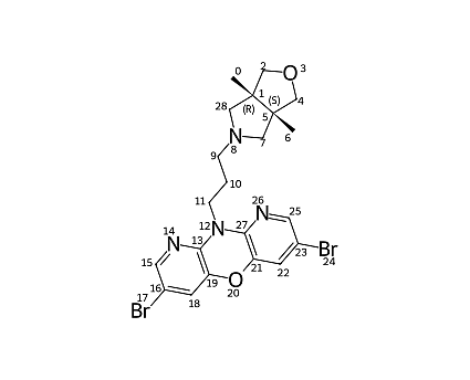 C[C@@]12COC[C@]1(C)CN(CCCN1c3ncc(Br)cc3Oc3cc(Br)cnc31)C2